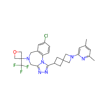 Cc1cc(C)nc(N2CC3(CC(c4nnc5n4-c4ccc(Cl)cc4CN(C4(C(F)(F)F)COC4)C5)C3)C2)c1